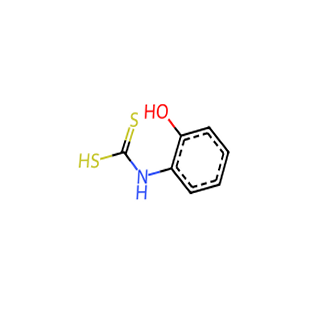 Oc1ccccc1NC(=S)S